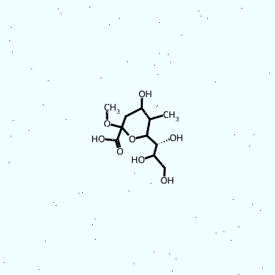 COC1(C(=O)O)CC(O)C(C)C([C@H](O)C(O)CO)O1